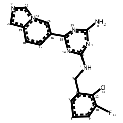 Nc1nc(NCc2cccc(F)c2Cl)nc(-c2ccc3cncn3c2)n1